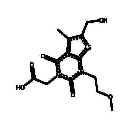 COCCn1c(=O)n(CC(=O)O)c(=O)c2c(C)c(CO)sc21